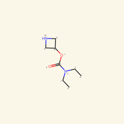 CCN(CC)C(=O)OC1CNC1